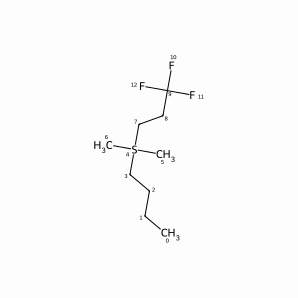 CCCCS(C)(C)CCC(F)(F)F